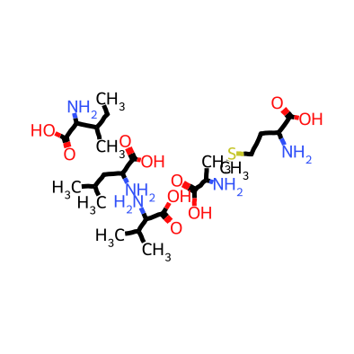 CC(C)C(N)C(=O)O.CC(C)CC(N)C(=O)O.CC(N)C(=O)O.CCC(C)C(N)C(=O)O.CSCCC(N)C(=O)O